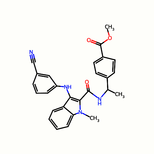 COC(=O)c1ccc(C(C)NC(=O)c2c(Nc3cccc(C#N)c3)c3ccccc3n2C)cc1